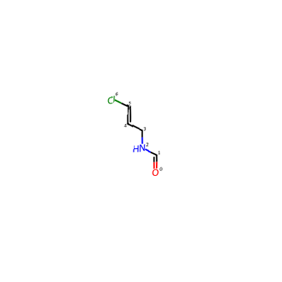 O=CNCC=CCl